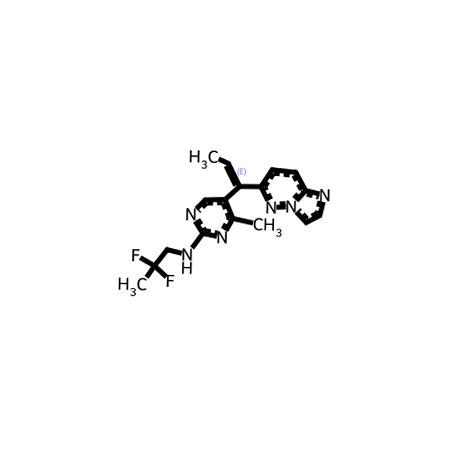 C/C=C(/c1ccc2nccn2n1)c1cnc(NCC(C)(F)F)nc1C